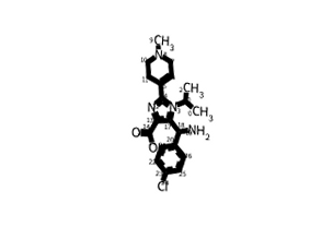 CC(C)n1c(C2=CCN(C)CC2)nc(C(=O)O)c1C(N)c1ccc(Cl)cc1